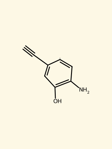 C#Cc1[c]cc(N)c(O)c1